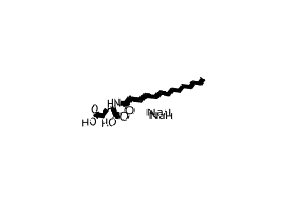 CCCCCCCCCCCCCC(=O)N[C@@H](CCC(=O)O)C(=O)O.[NaH].[NaH]